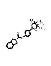 CC1(C)OB(c2ccc(OC(=O)N3Cc4ccccc4C3)cc2)OC1(C)C